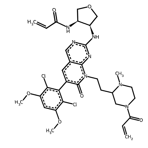 C=CC(=O)N[C@H]1COC[C@H]1Nc1ncc2cc(-c3c(Cl)c(OC)cc(OC)c3Cl)c(=O)n(CCC3CN(C(=O)C=C)CCN3C)c2n1